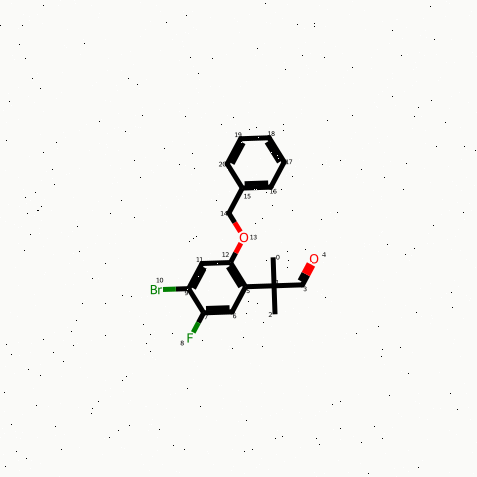 CC(C)(C=O)c1cc(F)c(Br)cc1OCc1ccccc1